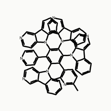 Cc1ccc(-c2c(-n3c4ccccc4c4cnccc43)c(-c3ccncc3)c(-n3c4ccccc4c4cnccc43)c(-n3c4ccccc4c4cnccc43)c2-n2c3ccccc3c3cnccc32)c(C)n1